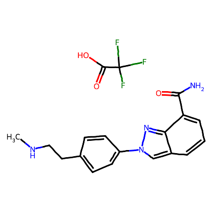 CNCCc1ccc(-n2cc3cccc(C(N)=O)c3n2)cc1.O=C(O)C(F)(F)F